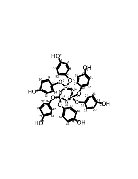 Oc1ccc(OP2(Oc3ccc(O)cc3)=NP(Oc3ccc(O)cc3)(Oc3ccc(O)cc3)=NP(Oc3ccc(O)cc3)(Oc3ccc(O)cc3)=N2)cc1